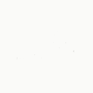 OCC(O)CCCC(CO)(CO)CO